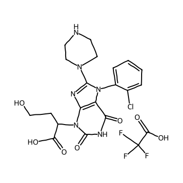 O=C(O)C(CCO)n1c(=O)[nH]c(=O)c2c1nc(N1CCNCC1)n2-c1ccccc1Cl.O=C(O)C(F)(F)F